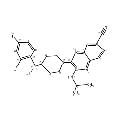 CC(C)Nc1nc2ccc(C#N)cc2nc1N1CCC([C@H](F)c2ccc(F)cc2F)CC1